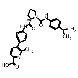 Cc1nc(C(=O)O)ccc1-c1ccc(NC(=O)[C@H]2CCCN2C(=O)Nc2ccc(C(C)C)cc2)cc1